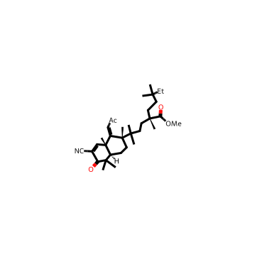 CCC(C)(C)CC[C@@](C)(CCC(C)(C)[C@]1(C)CC[C@H]2C(C)(C)C(=O)C(C#N)=C[C@]2(C)/C1=C/C(C)=O)C(=O)OC